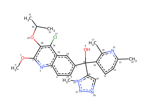 COc1nc2ccc(C(O)(c3ccc(C)nc3C)c3cnnn3C)cc2c(Cl)c1OC(C)C